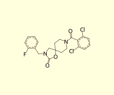 O=C1OC2(CCN(C(=O)c3c(Cl)cccc3Cl)CC2)CN1Cc1ccccc1F